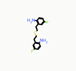 Nc1ccc(F)cc1CCSCCc1cc(F)ccc1N